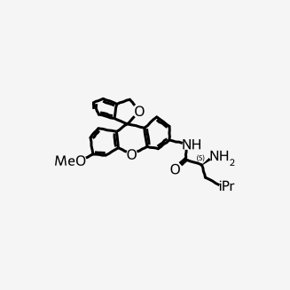 COc1ccc2c(c1)Oc1cc(NC(=O)[C@@H](N)CC(C)C)ccc1C21OCc2ccccc21